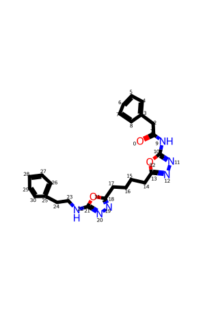 O=C(Cc1ccccc1)Nc1nnc(CCCCc2nnc(NCCc3ccccc3)o2)o1